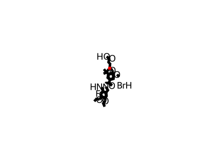 Br.CCOc1cc2c(c(F)c1OCC)C(=N)N(CC(=O)c1cc(OC)c(OCCCC(=O)O)c(C(C)(C)C)c1)C2